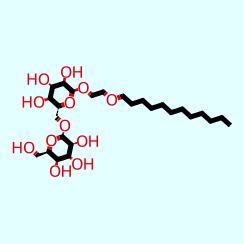 CCCCCCCCCCCCOCCO[C@H]1O[C@H](CO[C@H]2O[C@H](CO)[C@H](O)[C@H](O)[C@H]2O)[C@@H](O)[C@H](O)[C@H]1O